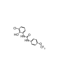 O=C(Nc1ccc(OC(F)(F)F)cc1)Nc1cccc(Cl)c1O